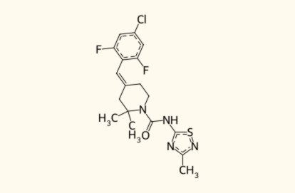 Cc1nsc(NC(=O)N2CC/C(=C\c3c(F)cc(Cl)cc3F)CC2(C)C)n1